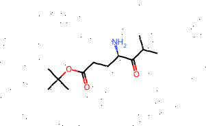 CC(C)C(=O)[C@H](N)CCC(=O)OC(C)(C)C